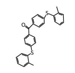 Cc1ccccc1Sc1ccc(C(=O)c2ccc(Sc3ccccc3C)cc2)cc1